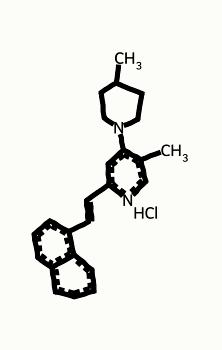 Cc1cnc(/C=C/c2cccc3ccccc23)cc1N1CCC(C)CC1.Cl